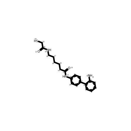 Nc1ccccc1-c1ccc(NC(=O)CCCCCNC(=O)CS)cc1